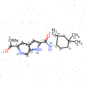 COC(=O)c1cc2cc(C(=O)N[C@H]3CCC(C)(C)CC3C)[nH]c2cn1